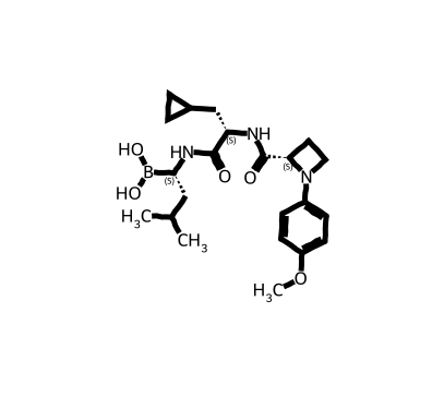 COc1ccc(N2CC[C@H]2C(=O)N[C@@H](CC2CC2)C(=O)N[C@H](CC(C)C)B(O)O)cc1